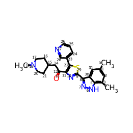 Cc1cc(C)c2[nH]nc(-c3nc(C(=O)CC4CCN(C)CC4)c(-c4cccnc4)s3)c2c1